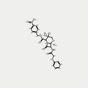 C[C@@]1(Cl)CS[C@H]2C(NC(=O)COc3ccccc3)C(=O)N2C1C(=O)OCc1ccc([N+](=O)[O-])cc1